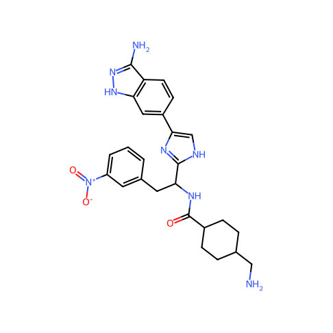 NCC1CCC(C(=O)NC(Cc2cccc([N+](=O)[O-])c2)c2nc(-c3ccc4c(N)n[nH]c4c3)c[nH]2)CC1